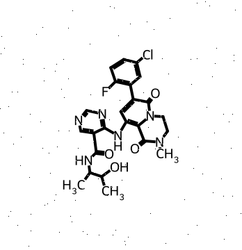 CC(O)C(C)NC(=O)c1cncnc1Nc1cc(-c2cc(Cl)ccc2F)c(=O)n2c1C(=O)N(C)CC2